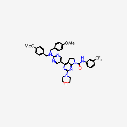 COc1ccc(CN(Cc2ccc(OC)cc2)c2ncc(-c3nc(N4CCOCC4)nc4c3CCN4C(=O)Nc3cccc(C(F)(F)F)c3)cn2)cc1